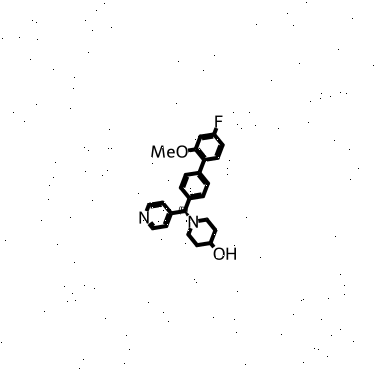 COc1cc(F)ccc1-c1ccc([C@H](c2ccncc2)N2CCC(O)CC2)cc1